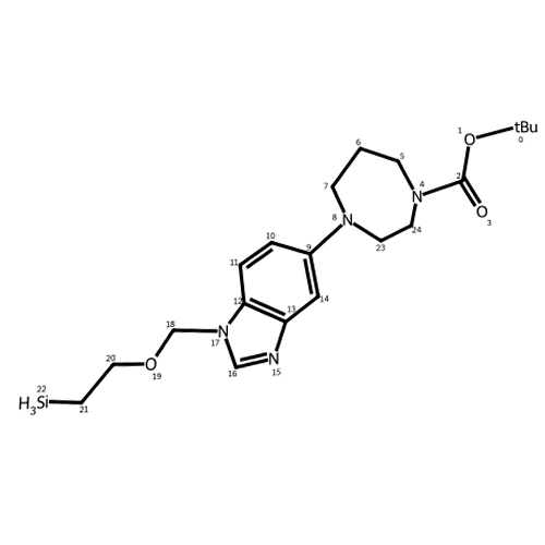 CC(C)(C)OC(=O)N1CCCN(c2ccc3c(c2)ncn3COCC[SiH3])CC1